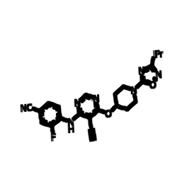 C#Cc1c(Nc2ccc(C#N)cc2F)ncnc1OC1CCN(c2nc(C(C)C)no2)CC1